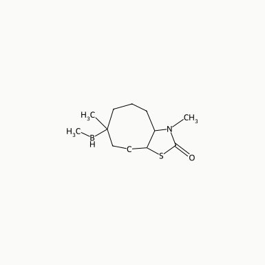 CBC1(C)CCCC2C(CC1)SC(=O)N2C